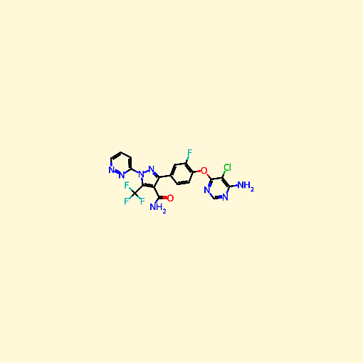 NC(=O)c1c(-c2ccc(Oc3ncnc(N)c3Cl)c(F)c2)nn(-c2cccnn2)c1C(F)(F)F